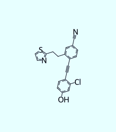 N#Cc1ccc(C#Cc2ccc(O)cc2Cl)c(CCc2nccs2)c1